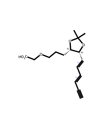 C#C/C=C/C=C/[C@H]1OC(C)(C)O[C@H]1CCCOCC(=O)O